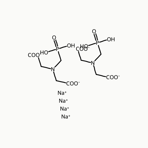 O=C([O-])CN(CC(=O)[O-])CP(=O)(O)O.O=C([O-])CN(CC(=O)[O-])CP(=O)(O)O.[Na+].[Na+].[Na+].[Na+]